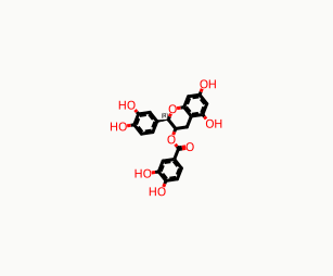 O=C(OC1Cc2c(O)cc(O)cc2O[C@@H]1c1ccc(O)c(O)c1)c1ccc(O)c(O)c1